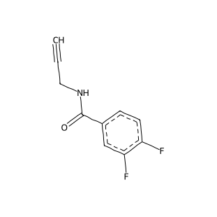 C#CCNC(=O)c1ccc(F)c(F)c1